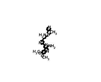 CCN(Cc1ccncc1)C[C@H](N)CCc1cncc(-c2cc3c(cnc4cc(OC)c(OC)cc43)c(N)n2)c1